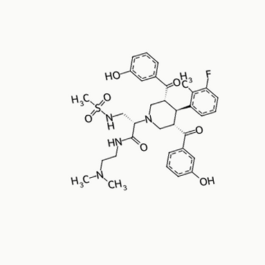 Cc1c(F)cccc1[C@@H]1[C@@H](C(=O)c2cccc(O)c2)CN([C@@H](CNS(C)(=O)=O)C(=O)NCCN(C)C)C[C@H]1C(=O)c1cccc(O)c1